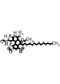 CCCCCCCCCCCCCCCc1c([N+](=O)[O-])cc([N+](=O)[O-])c(C)c1C1C(CCOC=O)=C(C)NC(C)=C1C(=O)OCC